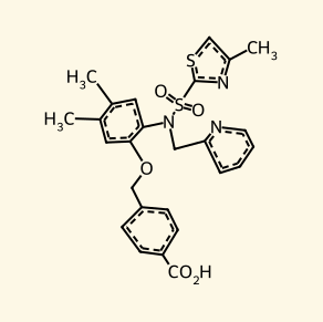 Cc1csc(S(=O)(=O)N(Cc2ccccn2)c2cc(C)c(C)cc2OCc2ccc(C(=O)O)cc2)n1